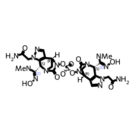 CN/C(=N\O)[C@@H]1c2c(cnn2CC(N)=O)[C@@H]2CN1C(=O)N2OS(=O)(=O)ON1C(=O)N2C[C@H]1c1cnn(CC(N)=O)c1[C@H]2/C(=N/O)NC